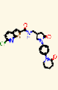 O=C(NCC1CC(=O)N(c2ccc(N3CCCCC3=O)cc2)C1)c1cc2ccc(Cl)nc2s1